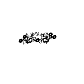 CN[C@@H](C)C(=O)N[C@H]1CN(C(=O)Nc2ccc(NC(=O)N3CC[C@H]4CC[C@@H](C(=O)NC(c5ccccc5)c5ccccc5)N4C(=O)[C@@H](NC(=O)[C@H](C)NC)C3)cc2)CCC2CC[C@@H](C(=O)NC(c3ccccc3)c3ccccc3)N2C1=O